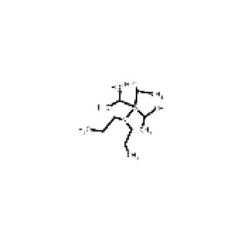 CCCN(CCC)[Si](C(C)C)(C(C)C)C(C)C